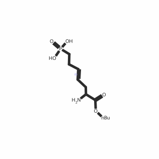 CCCCOC(=O)C(N)C/C=C/CCP(=O)(O)O